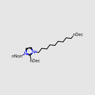 CCCCCCCCCCCCCCCCCCC[n+]1ccn(CCCCCCCCC)c1CCCCCCCCCC